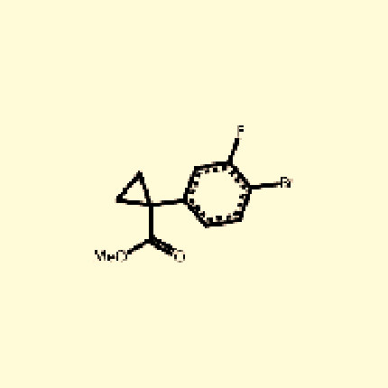 COC(=O)C1(c2ccc(Br)c(F)c2)CC1